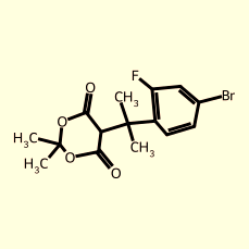 CC1(C)OC(=O)C(C(C)(C)c2ccc(Br)cc2F)C(=O)O1